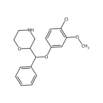 COc1cc(OC(c2ccccc2)C2CNCCO2)ccc1Cl